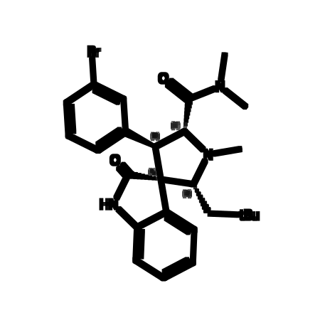 CN(C)C(=O)[C@H]1[C@H](c2cccc(Br)c2)[C@@]2(C(=O)Nc3ccccc32)[C@@H](CC(C)(C)C)N1C